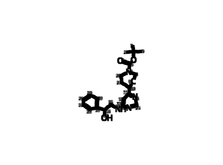 CC(C)(C)OC(=O)N1CCC(c2cc(NCC(O)c3ccccc3)ncn2)CC1